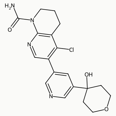 NC(=O)N1CCCc2c1ncc(-c1cncc(C3(O)CCOCC3)c1)c2Cl